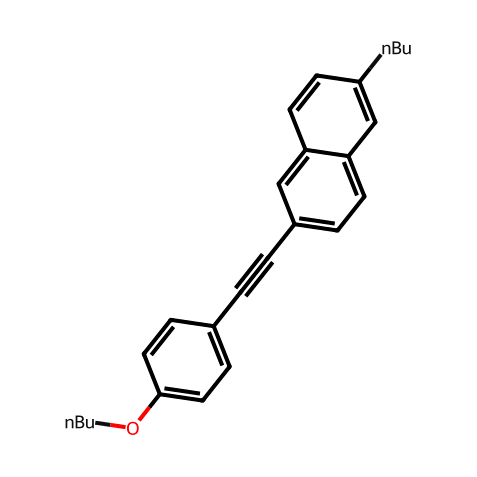 CCCCOc1ccc(C#Cc2ccc3cc(CCCC)ccc3c2)cc1